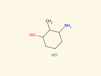 CC1C(N)CCCC1O.Cl